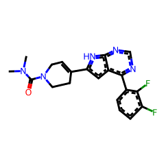 CN(C)C(=O)N1CC=C(c2cc3c(-c4cccc(F)c4F)ncnc3[nH]2)CC1